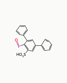 O=Ic1c(-c2ccccc2)cc(-c2ccccc2)cc1S(=O)(=O)O